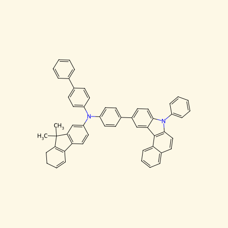 CC1(C)C2=C(C=CCC2)c2ccc(N(c3ccc(-c4ccccc4)cc3)c3ccc(-c4ccc5c(c4)c4c6ccccc6ccc4n5-c4ccccc4)cc3)cc21